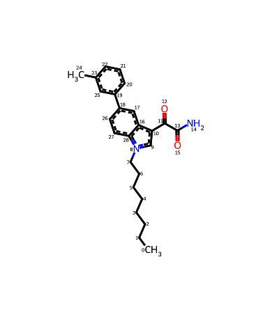 CCCCCCCCn1cc(C(=O)C(N)=O)c2cc(-c3cccc(C)c3)ccc21